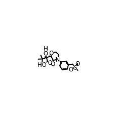 CC(C)(C)[C@](O)(C(=O)O)[C@H]1OCCN(c2cccc(CS(C)(=O)=O)c2)C1=O